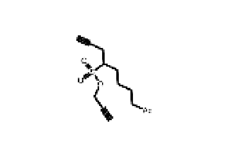 C#CCOS(=O)(=O)C(CC#C)CCCCC(C)=O